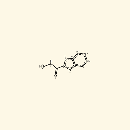 NNC(=O)c1nc2cnncc2s1